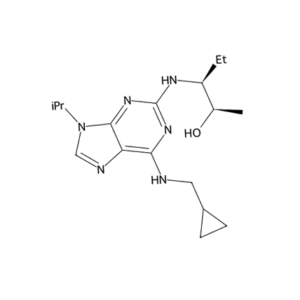 CC[C@H](Nc1nc(NCC2CC2)c2ncn(C(C)C)c2n1)[C@@H](C)O